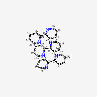 [Ni].c1ccc(-c2ccccn2)nc1.c1ccc(-c2ccccn2)nc1.c1ccc(-c2ccccn2)nc1